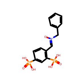 O=P(O)(O)c1ccc(C=[N+]([O-])Cc2ccccc2)c(P(=O)(O)O)c1